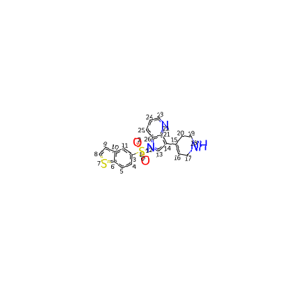 O=S(=O)(c1ccc2sccc2c1)n1cc(C2=CCNCC2)c2ncccc21